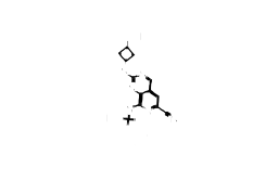 CC(C)(C)Nc1nc(C#N)cc2cnc(N[C@H]3C[C@H](O)C3)nc12